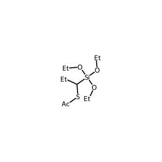 CCO[Si](OCC)(OCC)C(CC)SC(C)=O